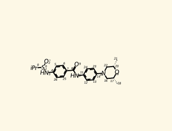 CC(C)[S+]([O-])Nc1ccc(C(=O)Nc2ccc(N3C[C@@H](C)O[C@@H](C)C3)cc2)cc1